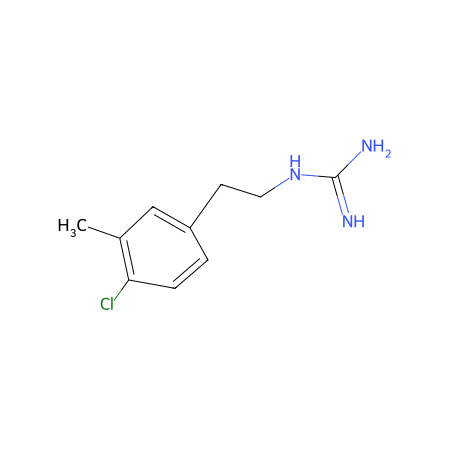 Cc1cc(CCNC(=N)N)ccc1Cl